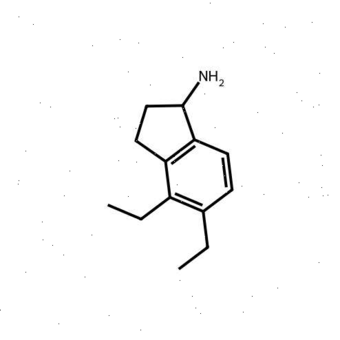 CCc1ccc2c(c1CC)CCC2N